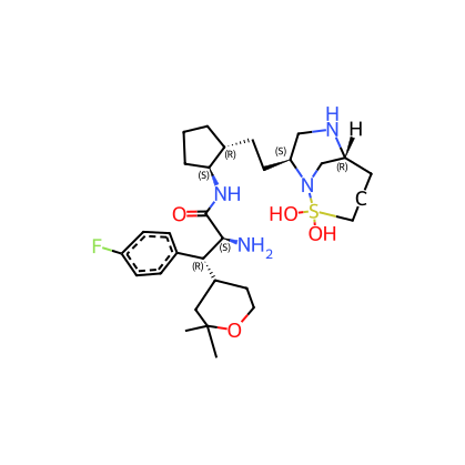 CC1(C)CC([C@H](c2ccc(F)cc2)[C@H](N)C(=O)N[C@H]2CCC[C@@H]2CC[C@H]2CN[C@@H]3CCCS(O)(O)N2C3)CCO1